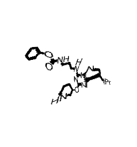 CC(C)c1cnn2c(NCCCNC(=O)Oc3ccccc3)nc(O[C@@H]3CCCNC3)nc12